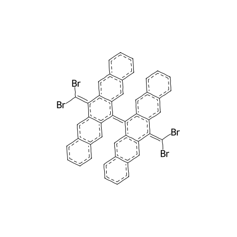 BrC(Br)=c1c2cc3ccccc3cc2c(=c2c3cc4ccccc4cc3c(=C(Br)Br)c3cc4ccccc4cc23)c2cc3ccccc3cc12